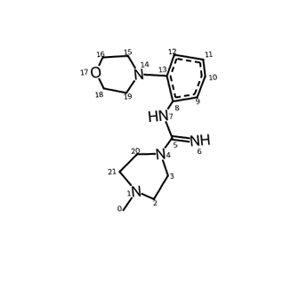 CN1CCN(C(=N)Nc2ccccc2N2CCOCC2)CC1